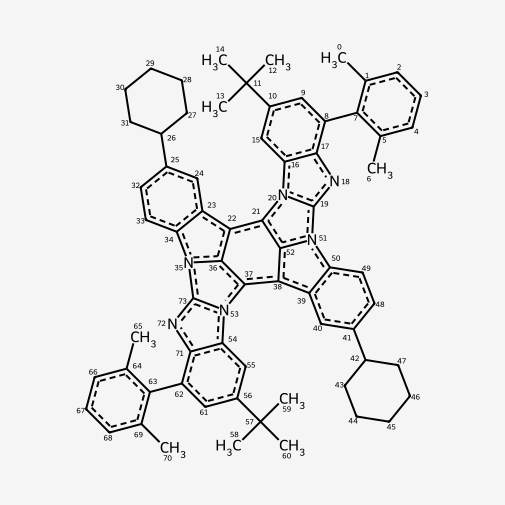 Cc1cccc(C)c1-c1cc(C(C)(C)C)cc2c1nc1n2c2c3c4cc(C5CCCCC5)ccc4n4c3c(c3c5cc(C6CCCCC6)ccc5n1c32)n1c2cc(C(C)(C)C)cc(-c3c(C)cccc3C)c2nc14